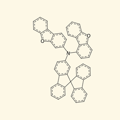 c1ccc2c(c1)-c1ccccc1C21c2ccccc2-c2ccc(N(c3ccc4c(c3)oc3ccccc34)c3cccc4oc5ccccc5c34)cc21